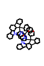 c1ccc(-c2nc(-n3c4ccccc4c4ccc5c(c43)C(c3ccccc3)(c3ccccc3)c3ccccc3-5)cc(-n3c4ccccc4c4ccc5c(c43)C(c3ccccc3)(c3ccccc3)c3ccccc3-5)n2)cc1